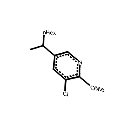 CCCCCCC(C)c1cnc(OC)c(Cl)c1